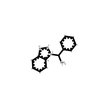 NC(c1ccccc1)n1nnc2ccccc21